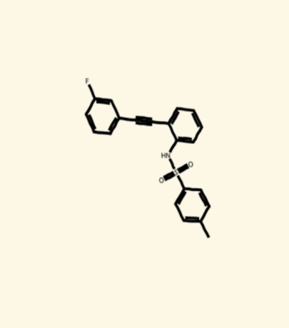 Cc1ccc(S(=O)(=O)Nc2ccccc2C#Cc2cccc(F)c2)cc1